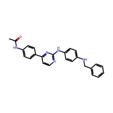 CC(=O)Nc1ccc(-c2ccnc(Nc3ccc(NCc4ccccc4)cc3)n2)cc1